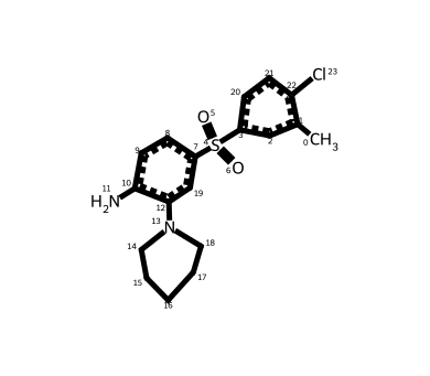 Cc1cc(S(=O)(=O)c2ccc(N)c(N3CCCCC3)c2)ccc1Cl